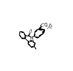 CCOC(=O)c1cccc(NC(=O)c2ccccc2-c2ccc(C)cc2)c1